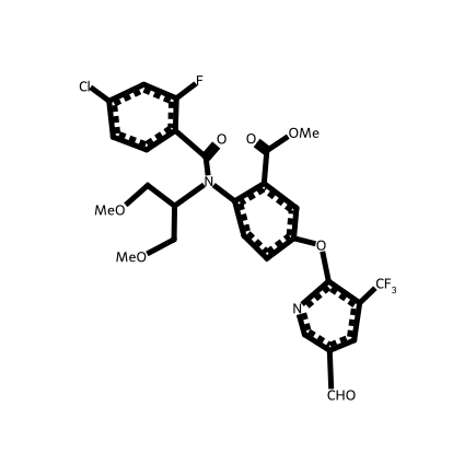 COCC(COC)N(C(=O)c1ccc(Cl)cc1F)c1ccc(Oc2ncc(C=O)cc2C(F)(F)F)cc1C(=O)OC